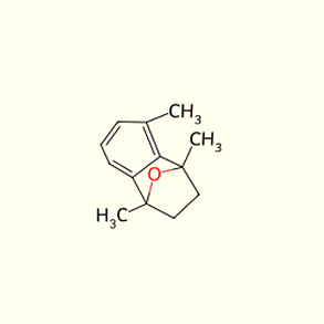 Cc1cccc2c1C1(C)CCC2(C)O1